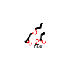 C=CC(=O)OCCCC.C=CCOCC1CO1